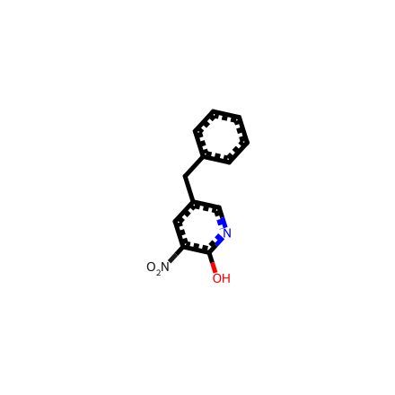 O=[N+]([O-])c1cc(Cc2ccccc2)cnc1O